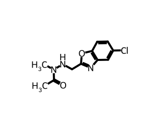 CC(=O)N(C)NCc1nc2cc(Cl)ccc2o1